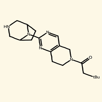 CC(C)(C)CC(=O)N1CCc2nc(N3C4CCC3CNC4)ncc2C1